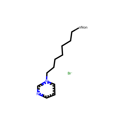 CCCCCCCCCCCCCCCC[n+]1cccnc1.[Br-]